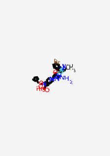 Cc1ccn(-c2cc(Br)ccc2[C@@H](Oc2cc(N3CCC4(CC3)CC(C(=O)O)N(C(=O)OCc3ccccc3)C4)nc(N)n2)C(F)(F)F)n1